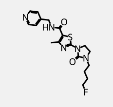 Cc1nc(N2CCN(CCCCF)C2=O)sc1C(=O)NCc1ccncc1